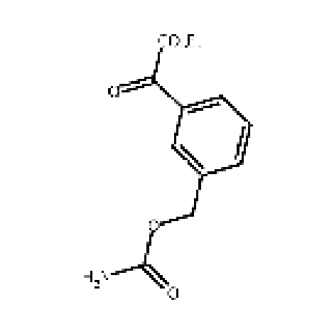 CCOC(=O)C(=O)c1cccc(COC(N)=O)c1